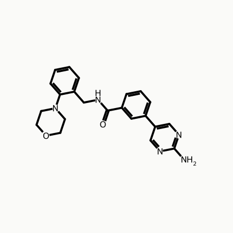 Nc1ncc(-c2cccc(C(=O)NCc3ccccc3N3CCOCC3)c2)cn1